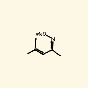 [CH2]O/N=C(/C)C=C(C)C